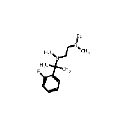 CCN(C)CCN(C)C(C)(C)c1ccccc1F